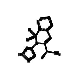 C[C@H](N)C1=Cc2cccnc2S(=O)(=O)N1c1cn[nH]c1